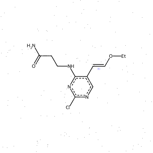 CCO/C=C/c1cnc(Cl)nc1NCCC(N)=O